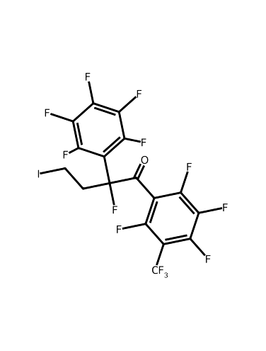 O=C(c1c(F)c(F)c(F)c(C(F)(F)F)c1F)C(F)(CCI)c1c(F)c(F)c(F)c(F)c1F